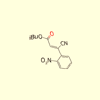 CC(C)COC(=O)C=C(C#N)c1ccccc1[N+](=O)[O-]